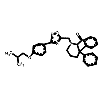 CC(C)COc1ccc(-c2noc(CN3CCCC(c4ccccc4)(c4ccccc4)C3C=O)n2)cc1